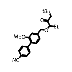 CCC(OCc1ccc(-c2ccc(C#N)cc2)c(OC)c1)C(=O)CC(C)(C)C